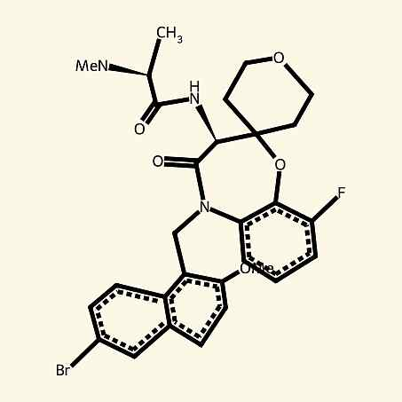 CN[C@@H](C)C(=O)N[C@@H]1C(=O)N(Cc2c(OC)ccc3cc(Br)ccc23)c2cccc(F)c2OC12CCOCC2